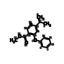 C=C(C)c1cc(Oc2ccccc2)c(C(=O)OC)cn1